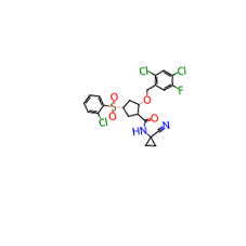 N#CC1(NC(=O)C2C[C@H](S(=O)(=O)c3ccccc3Cl)C[C@@H]2OCc2cc(F)c(Cl)cc2Cl)CC1